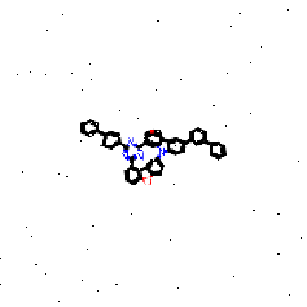 c1ccc(-c2ccc(-c3nc(-c4ccccc4)nc(-c4cccc5oc6ccc(-n7c8ccccc8c8cc(-c9cccc(-c%10ccccc%10)c9)ccc87)cc6c45)n3)cc2)cc1